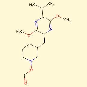 COC1=N[C@@H](CC2CCCN(OC=O)C2)C(OC)=NC1C(C)C